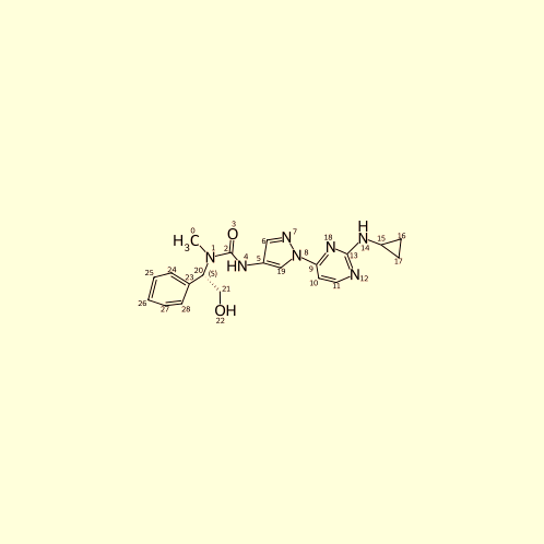 CN(C(=O)Nc1cnn(-c2ccnc(NC3CC3)n2)c1)[C@H](CO)c1ccccc1